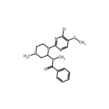 CSc1cnc(N2CCN(C)CC2N(C)C(=O)c2ccccc2)nc1Cl